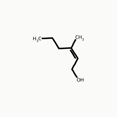 CCC/C(C)=C\CO